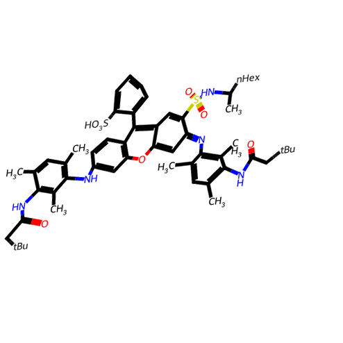 CCCCCCC(C)NS(=O)(=O)c1cc2c(-c3ccccc3S(=O)(=O)O)c3ccc(Nc4c(C)cc(C)c(NC(=O)CC(C)(C)C)c4C)cc3oc-2c/c1=N\c1c(C)cc(C)c(NC(=O)CC(C)(C)C)c1C